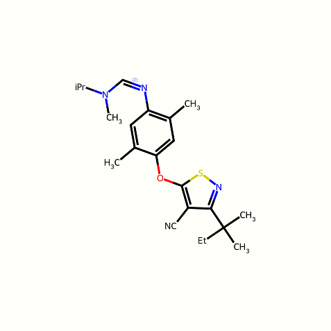 CCC(C)(C)c1nsc(Oc2cc(C)c(/N=C\N(C)C(C)C)cc2C)c1C#N